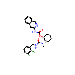 CN(C(=O)NCc1cccc(F)c1Cl)[C@H]1CCCC[C@@H]1OC(=O)Nc1cc2ccccc2cn1